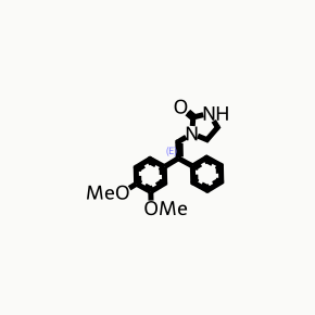 COc1ccc(/C(=C/N2CCNC2=O)c2ccccc2)cc1OC